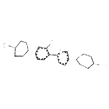 CC[C@H]1CC[C@H](c2ccc(-c3ccc([C@H]4CC[C@H](C)CC4)cn3)c(F)c2)CC1